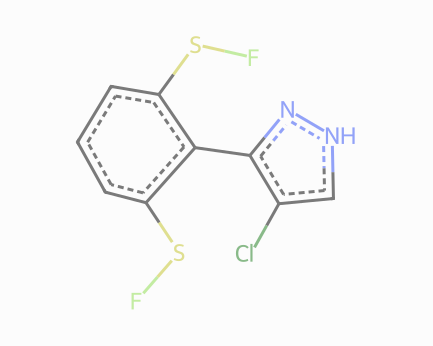 FSc1cccc(SF)c1-c1n[nH]cc1Cl